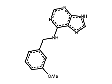 COc1cccc(CNc2ncnc3[nH]cnc23)c1